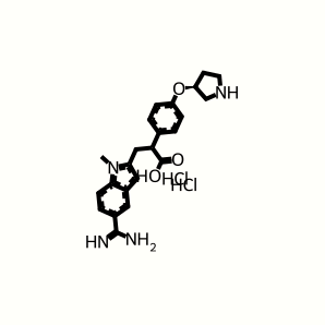 Cl.Cl.Cn1c(CC(C(=O)O)c2ccc(O[C@H]3CCNC3)cc2)cc2cc(C(=N)N)ccc21